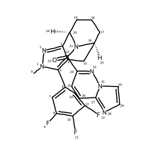 Cn1nc2c(c1-c1cc(F)c(F)c(F)c1)C[C@@H]1CCC[C@H]2N1C(=O)c1ccc2nccn2n1